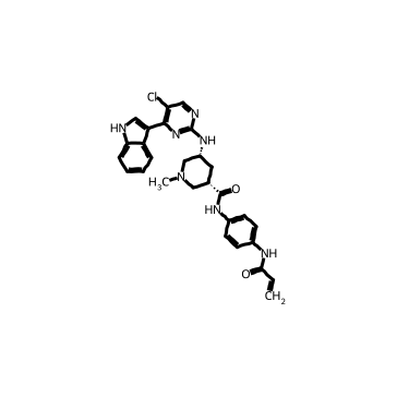 C=CC(=O)Nc1ccc(NC(=O)[C@H]2C[C@@H](Nc3ncc(Cl)c(-c4c[nH]c5ccccc45)n3)CN(C)C2)cc1